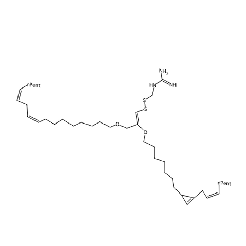 CCCCC/C=C\C/C=C\CCCCCCCCOC/C(=C/SSCNC(=N)N)OCCCCCCCC1C=C1C/C=C\CCCCC